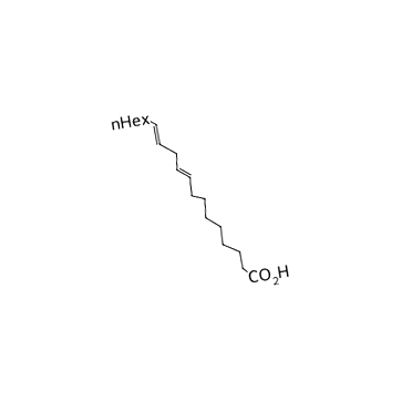 CCCCCC/C=C/C/C=C/CCCCCCCC(=O)O